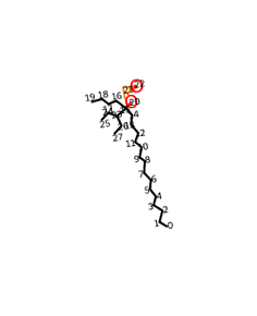 CCCCCCCCCCCCCCCC(CCCC)(OP=O)C(CC)CC